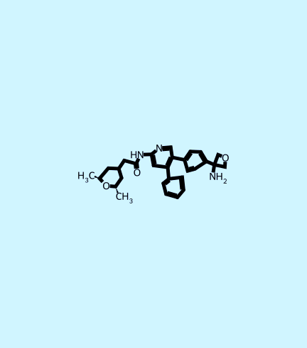 C[C@@H]1CC(CC(=O)Nc2cc(-c3ccccc3)c(-c3ccc(C4(N)COC4)cc3)cn2)C[C@H](C)O1